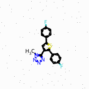 Cn1nnnc1-c1cc(-c2ccc(F)cc2)sc1-c1ccc(F)cc1